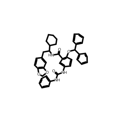 O=C(Nc1ccccc1)Nc1ccc(OC(c2ccccc2)c2ccccc2)c(C(=O)NC(Cc2ccc3c(c2)OCO3)C2CCCCC2)c1